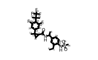 CCc1cc(C(C)NC(=O)C2CC2(C)c2cc(F)c(C(C)(C)C(F)(F)F)c(F)c2)ccc1NS(C)(=O)=O